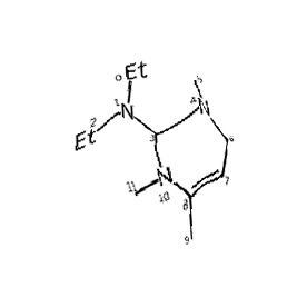 CCN(CC)C1N(C)CC=C(C)N1C